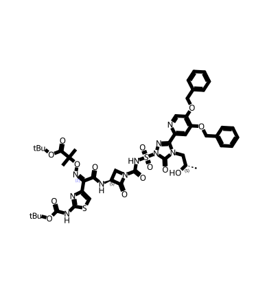 C[C@H](O)Cn1c(-c2cc(OCc3ccccc3)c(OCc3ccccc3)cn2)nn(S(=O)(=O)NC(=O)N2C[C@H](NC(=O)/C(=N\OC(C)(C)C(=O)OC(C)(C)C)c3csc(NC(=O)OC(C)(C)C)n3)C2=O)c1=O